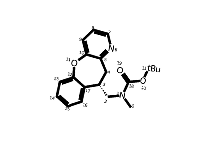 CN(C[C@H]1Cc2ncccc2Oc2ccccc21)C(=O)OC(C)(C)C